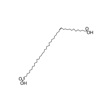 O=C(O)C=CCCCCCCCCCCCCCCCCCCCCCCCCCCC/C=C\CCCCCCCCCCCC(=O)O